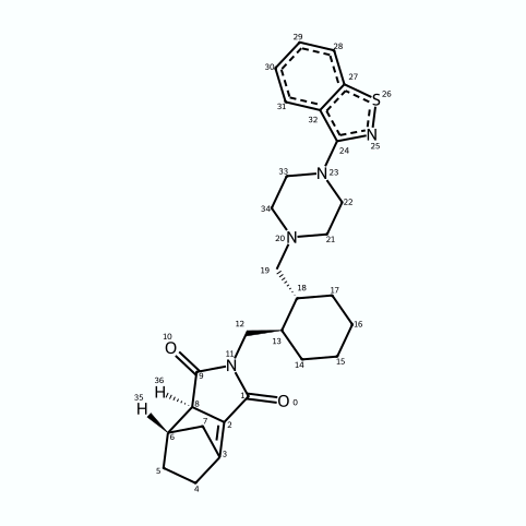 O=C1C2=C3CC[C@@H](C3)[C@H]2C(=O)N1C[C@@H]1CCCC[C@H]1CN1CCN(c2nsc3ccccc23)CC1